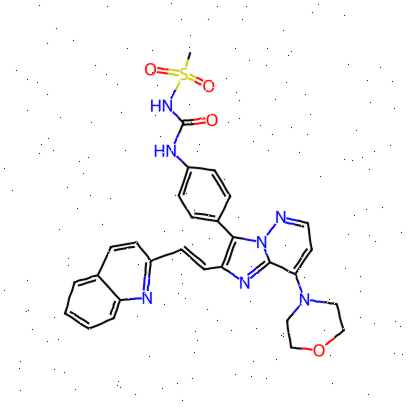 CS(=O)(=O)NC(=O)Nc1ccc(-c2c(C=Cc3ccc4ccccc4n3)nc3c(N4CCOCC4)ccnn23)cc1